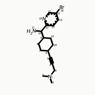 CN(C)CC#CC1CCC(C(N)c2ccc(Br)cn2)CC1